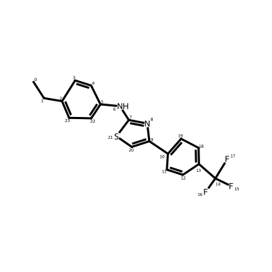 CCc1ccc(Nc2nc(-c3ccc(C(F)(F)F)cc3)cs2)cc1